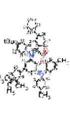 Cc1ccc(N2c3ccc(C)cc3B3c4oc5ccc(C6CC7CCC6C7)cc5c4N(c4ccc(C(C)(C)C)cc4)c4cc(C5CC6CC5C(C)C6(C)C)cc2c43)cc1